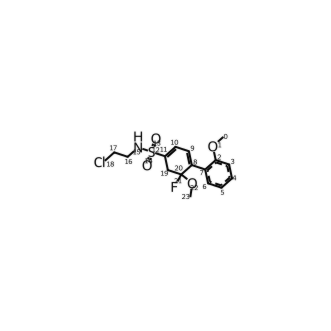 COc1ccccc1C1=CC=C(S(=O)(=O)NCCCl)CC1(F)OC